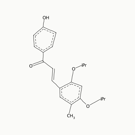 Cc1cc(C=CC(=O)c2ccc(O)cc2)c(OC(C)C)cc1OC(C)C